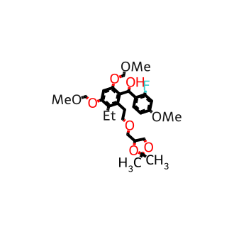 CCc1c(OCOC)cc(OCOC)c(C(O)c2ccc(OC)cc2F)c1CCOCC1COC(C)(C)O1